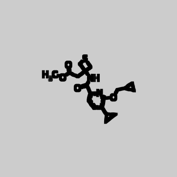 COC(=O)CC1(NC(=O)c2ccc(C3CC3)c(OCC3CC3)n2)CSC1